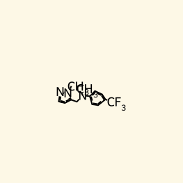 CN(Cc1ccnn1C)c1ccc(C(F)(F)F)cc1